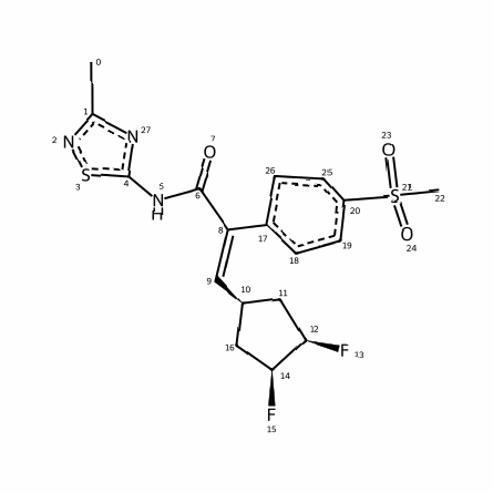 Cc1nsc(NC(=O)/C(=C/[C@H]2C[C@@H](F)[C@@H](F)C2)c2ccc(S(C)(=O)=O)cc2)n1